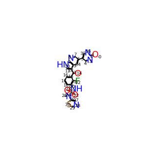 COc1ncc(-c2cnc3[nH]cc(C(=O)c4cccc(NS(=O)(=O)N(C)c5cncs5)c4F)c3c2)cn1